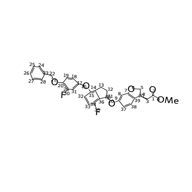 COC(=O)C[C@@H]1COc2cc(O[C@@H]3CCc4c(Oc5ccc(OCc6ccccc6)c(F)c5)ccc(F)c43)ccc21